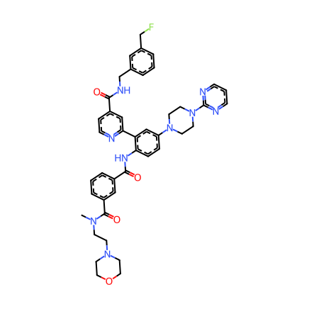 CN(CCN1CCOCC1)C(=O)c1cccc(C(=O)Nc2ccc(N3CCN(c4ncccn4)CC3)cc2-c2cc(C(=O)NCc3cccc(CF)c3)ccn2)c1